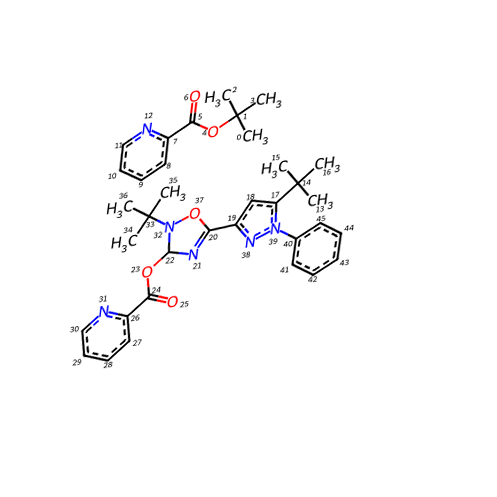 CC(C)(C)OC(=O)c1ccccn1.CC(C)(C)c1cc(C2=NC(OC(=O)c3ccccn3)N(C(C)(C)C)O2)nn1-c1ccccc1